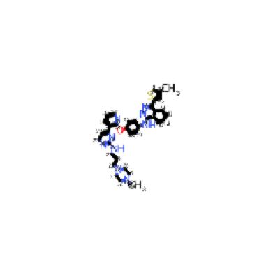 Cc1csc(-c2nnc(Nc3ccc(Oc4ncccc4-c4ccnc(NCCCN5CCN(C)CC5)n4)cc3)c3ccccc23)c1